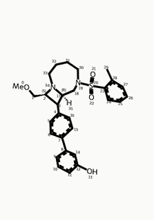 COC[C@@H]1C(c2ccc(-c3cccc(O)c3)cc2)[C@@H]2CN(S(=O)(=O)c3ccccc3C)CCCCN12